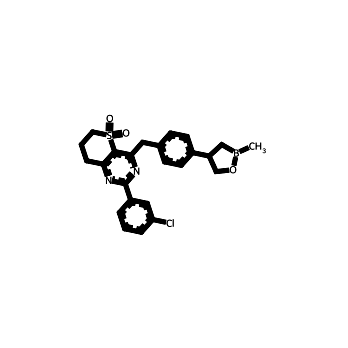 CB1CC(c2ccc(Cc3nc(-c4cccc(Cl)c4)nc4c3S(=O)(=O)CCC4)cc2)CO1